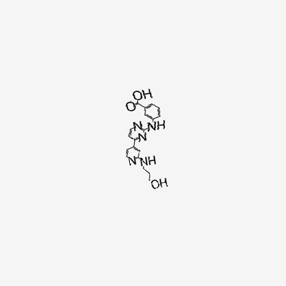 O=C(O)c1cccc(Nc2nccc(-c3ccnc(NCCCO)c3)n2)c1